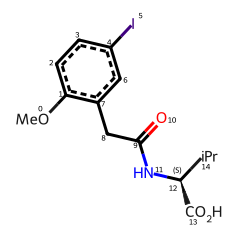 COc1ccc(I)cc1CC(=O)N[C@H](C(=O)O)C(C)C